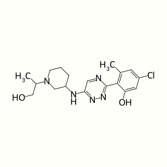 Cc1cc(Cl)cc(O)c1-c1ncc(NC2CCCN(C(C)CO)C2)nn1